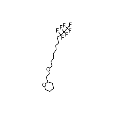 FC(F)(F)C(F)(F)C(F)(F)CCCCCCCCOCCC1CCCCO1